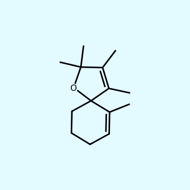 CC1=CCCCC12OC(C)(C)C(C)=C2C